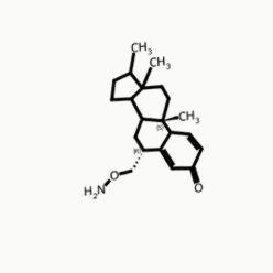 CC1CCC2C3C[C@@H](CON)C4=CC(=O)C=CC4[C@@]3(C)CCC12C